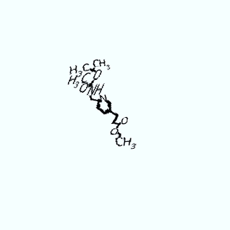 CCOC(=O)/C=C/c1ccc(CNC(=O)OC(C)(C)C)nc1